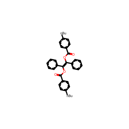 CCCCc1ccc(C(=O)O/C(=C(/OC(=O)c2ccc(CCCC)cc2)c2ccccc2)c2ccccc2)cc1